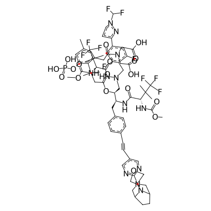 COC(=O)N[C@H](C(=O)N[C@@H](Cc1ccc(C#Cc2cnc(N3CC4CCC(C3)N4C3COC3)nc2)cc1)[C@H](CN(Cc1c(F)cc(-c2ccn(C(F)F)n2)cc1F)NC(=O)[C@@H](NC(=O)OC)C(C)(C)C(F)(F)F)OC(=O)CC(C)(C)c1c(CC(=O)N(CC(=O)O)CC(=O)O)cc(C)cc1OP(=O)(O)O)C(C)(C)C(F)(F)F